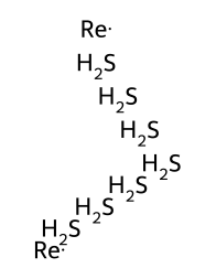 S.S.S.S.S.S.S.[Re].[Re]